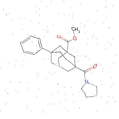 COC(=O)C12CC3CC(C(=O)N4CCCC4)(C1)CC(c1ccccc1)(C3)C2